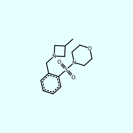 CC1CN(Cc2ccccc2S(=O)(=O)N2CCOCC2)C1